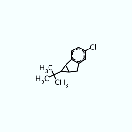 CC(C)(C)C1C2Cc3cc(Cl)ccc3C21